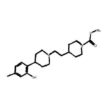 Cc1ccc(C2CCN(CCC3CCN(C(=O)OC(C)(C)C)CC3)CC2)c(S)c1